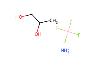 CC(O)CO.F[B-](F)(F)F.[NH4+]